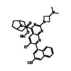 CN(C)C1CN(c2nc(N3CC4CCC(C3)N4C(=O)OC(C)(C)C)c3cc(Cl)c(-c4cc(O)cc5ccccc45)nc3n2)C1